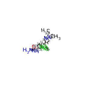 CCCN(CC)c1ccc(CCc2ccc(CC(=O)NN)cc2)cn1.Cl.Cl.Cl